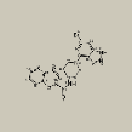 O=C1NC2(CCN(c3cc(Br)cc4[nH]ncc34)CC2)C(=O)N1Cc1ccccc1